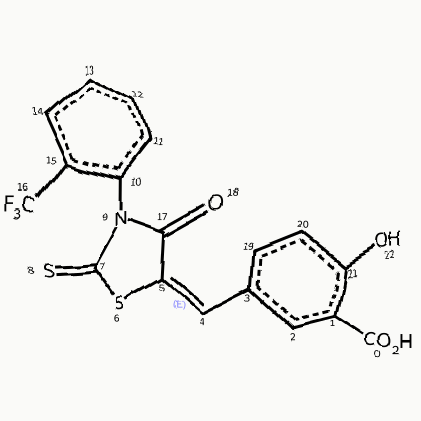 O=C(O)c1cc(/C=C2/SC(=S)N(c3ccccc3C(F)(F)F)C2=O)ccc1O